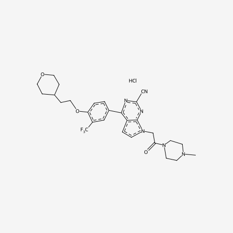 CN1CCN(C(=O)Cn2ccc3c(-c4ccc(OCCC5CCOCC5)c(C(F)(F)F)c4)nc(C#N)nc32)CC1.Cl